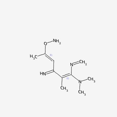 C=N/C(=C(/C)C(=N)/C=C(\C)ON)N(C)C